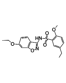 CCOc1ccc2c(NS(=O)(=O)c3cc(CC)ccc3OC)noc2c1